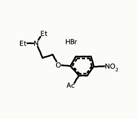 Br.CCN(CC)CCOc1ccc([N+](=O)[O-])cc1C(C)=O